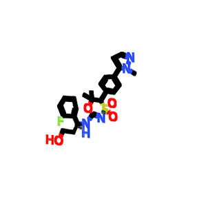 Cn1nccc1-c1ccc(C2C(C)(C)OC(N[C@@H](CCO)c3ccccc3F)=NS2(=O)=O)cc1